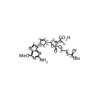 COc1nc(N)nc2c1ncn2[C@H]1C=C[C@@H](COP(=O)(OCCSC(=O)C(C)(C)C)N(C)C(C)C(=O)O)C1